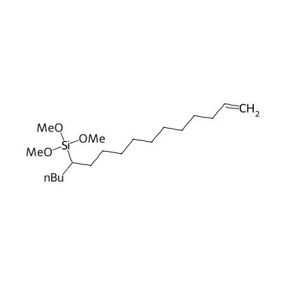 C=CCCCCCCCCCC(CCCC)[Si](OC)(OC)OC